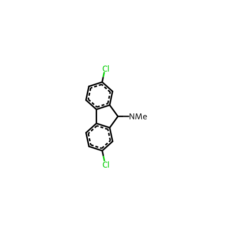 CNC1c2cc(Cl)ccc2-c2ccc(Cl)cc21